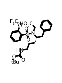 CC(C)(C)OC(=O)NCCC[C@@H](Cc1ccccc1)N(CC(=O)O)S(=O)(=O)c1ccccc1OC(F)(F)F